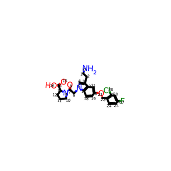 NCCc1cn(CC(=O)N2CCCC2C(=O)O)c2ccc(OCc3ccc(F)cc3Cl)cc12